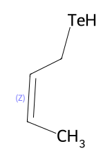 C/C=C\C[TeH]